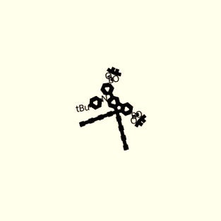 C#CC#CC#CC#CC1(C#CC#CC#CC#C)c2cc(B3OC(C)(C)C(C)(C)O3)ccc2-c2cc3c4cc(B5OC(C)(C)C(C)(C)O5)ccc4n(-c4ccc(C(C)(C)C)cc4)c3cc21